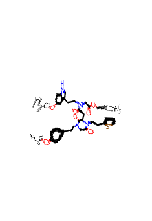 CCOC(=O)CN(CCc1c[nH]c2ccc(OC)cc12)C(=O)CC1C(=O)N(CCc2ccc(OC)cc2)CC(=O)N1CCc1cccs1